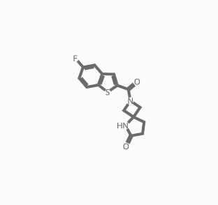 O=C1CCC2(CN(C(=O)c3cc4cc(F)ccc4s3)C2)N1